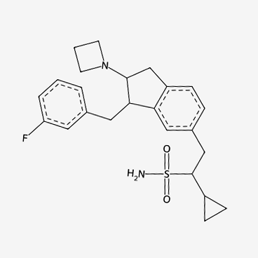 NS(=O)(=O)C(Cc1ccc2c(c1)C(Cc1cccc(F)c1)C(N1CCC1)C2)C1CC1